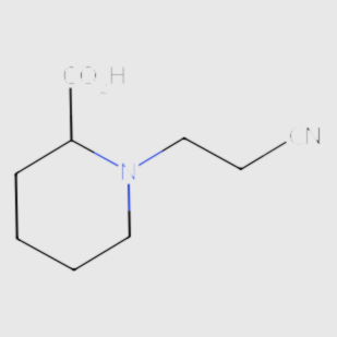 N#CCCN1CCCCC1C(=O)O